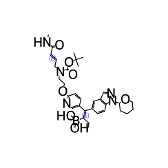 CC/C(B(O)O)=C(/c1ccc(OCCN(C/C=C/C(=O)NC)C(=O)OC(C)(C)C)nc1)c1ccc2c(cnn2C2CCCCO2)c1